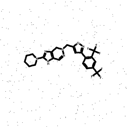 FC(F)(F)c1ccc(-c2cc(CN3Cc4nc(N5CCCCC5)[nH]c4C=N3)on2)c(C(F)(F)F)c1